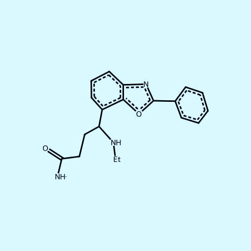 CCNC(CCC([NH])=O)c1cccc2nc(-c3ccccc3)oc12